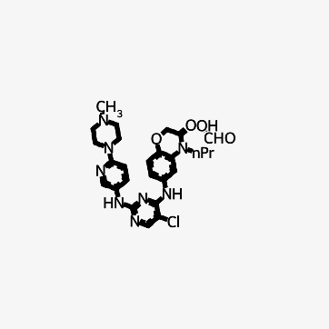 CCCN1C(=O)COc2ccc(Nc3nc(Nc4ccc(N5CCN(C)CC5)nc4)ncc3Cl)cc21.O=CO